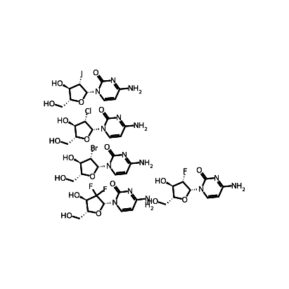 Nc1ccn([C@@H]2O[C@H](CO)[C@@H](O)C2(F)F)c(=O)n1.Nc1ccn([C@@H]2O[C@H](CO)[C@@H](O)[C@@H]2Br)c(=O)n1.Nc1ccn([C@@H]2O[C@H](CO)[C@@H](O)[C@@H]2Cl)c(=O)n1.Nc1ccn([C@@H]2O[C@H](CO)[C@@H](O)[C@@H]2F)c(=O)n1.Nc1ccn([C@@H]2O[C@H](CO)[C@@H](O)[C@@H]2I)c(=O)n1